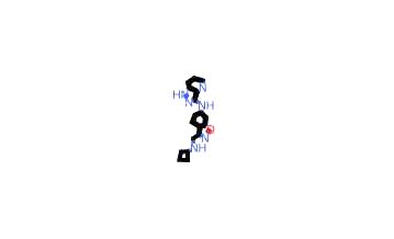 c1cnc2c(Nc3ccc4c(CNC5CCC5)noc4c3)n[nH]c2c1